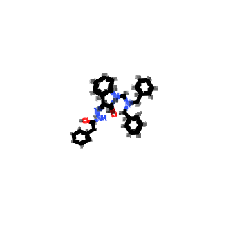 O=C(Cc1ccccc1)NN=C1C(=O)N(CN(Cc2ccccc2)Cc2ccccc2)c2ccccc21